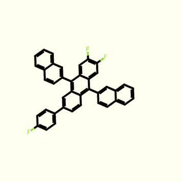 Fc1ccc(-c2ccc3c(-c4ccc5ccccc5c4)c4cc(F)c(F)cc4c(-c4ccc5ccccc5c4)c3c2)cc1